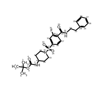 CC(C)(C)OC(=O)NC1CCN(S(=O)(=O)c2ccc(C(=O)NCCc3ccccc3)c(F)c2)CC1